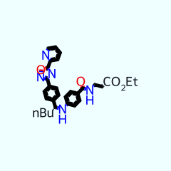 CCCC[C@@H](Nc1ccc(C(=O)NCCC(=O)OCC)cc1)c1ccc(-c2noc(-c3ccccn3)n2)cc1